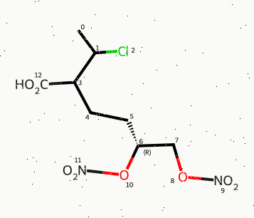 CC(Cl)C(CC[C@H](CO[N+](=O)[O-])O[N+](=O)[O-])C(=O)O